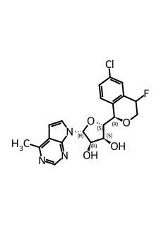 Cc1ncnc2c1ccn2[C@@H]1O[C@H]([C@@H]2OCC(F)c3cc(Cl)ccc32)[C@@H](O)[C@H]1O